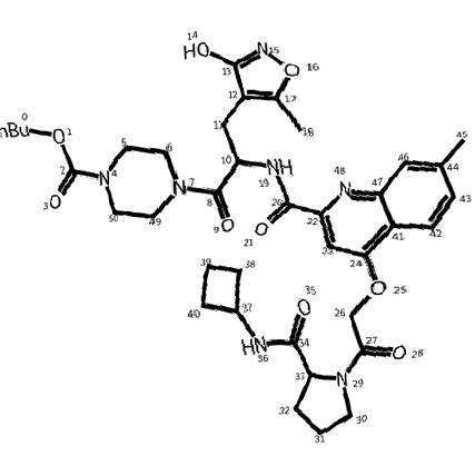 CCCCOC(=O)N1CCN(C(=O)C(Cc2c(O)noc2C)NC(=O)c2cc(OCC(=O)N3CCCC3C(=O)NC3CCC3)c3ccc(C)cc3n2)CC1